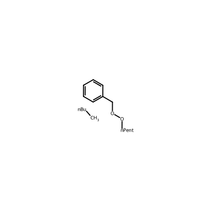 CCCCC.CCCCCOOCc1ccccc1